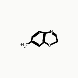 [CH2]c1ccc2c(c1)OCC=N2